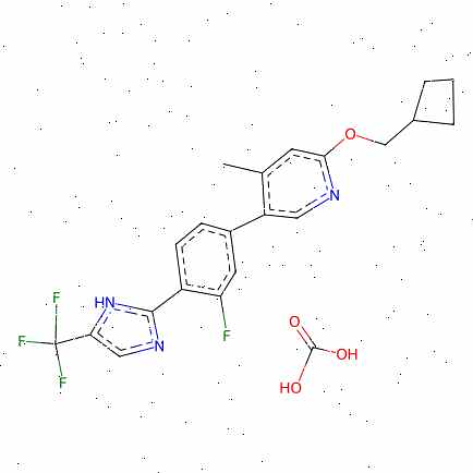 Cc1cc(OCC2CCC2)ncc1-c1ccc(-c2ncc(C(F)(F)F)[nH]2)c(F)c1.O=C(O)O